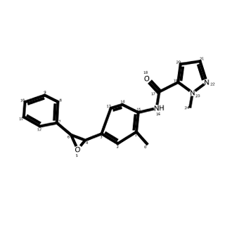 Cc1cc(C2OC2c2ccccc2)ccc1NC(=O)c1ccnn1C